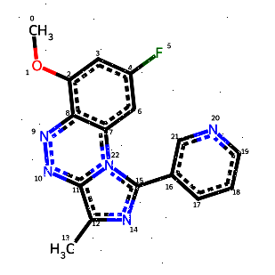 COc1cc(F)cc2c1nnc1c(C)nc(-c3cccnc3)n12